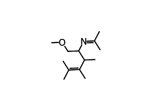 COCC(N=C(C)C)C(C)C(C)=C(C)C